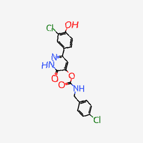 O=C(NCc1ccc(Cl)cc1)Oc1cc(-c2ccc(O)c(Cl)c2)n[nH]c1=O